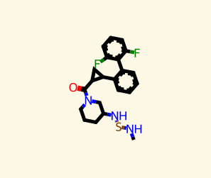 CNSNC1CCCN(C(=O)C2CC2c2ccccc2-c2c(F)cccc2F)C1